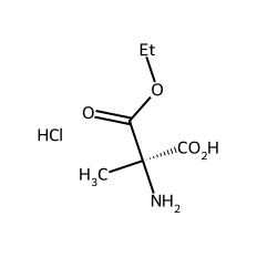 CCOC(=O)[C@](C)(N)C(=O)O.Cl